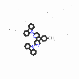 CC1CCC(c2ccc(-n3c4ccccc4c4ccccc43)nc2)(c2ccc(-n3c4ccccc4c4ccccc43)nc2)CC1